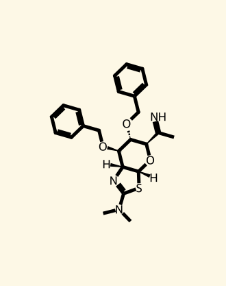 CC(=N)[C@H]1O[C@@H]2SC(N(C)C)=N[C@@H]2[C@@H](OCc2ccccc2)[C@@H]1OCc1ccccc1